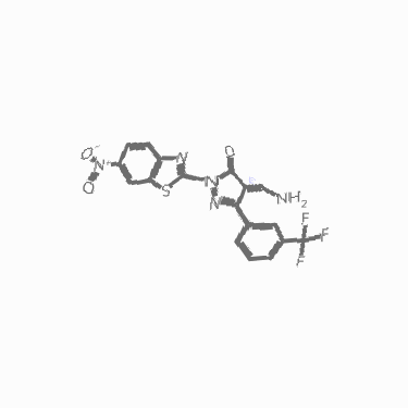 N/C=C1/C(=O)N(c2nc3ccc([N+](=O)[O-])cc3s2)N=C1c1cccc(C(F)(F)F)c1